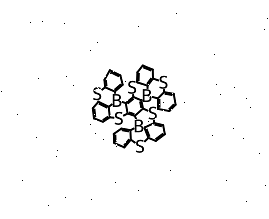 c1ccc2c(c1)Sc1cccc3c1B2c1c2c(c4c(c1S3)B1c3ccccc3Sc3cccc(c31)S4)B1c3ccccc3Sc3cccc(c31)S2